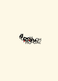 CC(=O)O[C@@H](C1C[C@@H](C)[C@H]2C(O1)[C@H](O)[C@@]1(C)C3CC[C@H]4C(C)(C)[C@@H](O[C@H]5CN(C)CCO5)CCC45C[C@@]35CC[C@]21C)C(C)(C)O